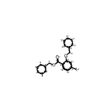 O=C(OCc1ccccc1)c1ccc(I)cc1OCc1ccccc1